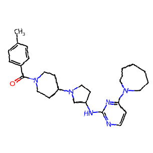 Cc1ccc(C(=O)N2CCC(N3CCC(Nc4nccc(N5CCCCCC5)n4)C3)CC2)cc1